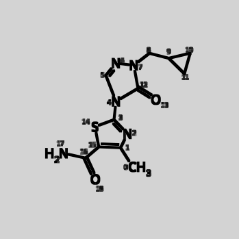 Cc1nc(-n2cnn(CC3CC3)c2=O)sc1C(N)=O